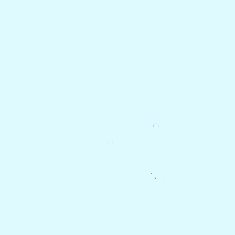 CCCC(C)C1COC2C(N)COC12